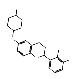 Cc1c(F)cccc1C1CCc2cc(OC3CCC(C(=O)O)CC3)ccc2O1